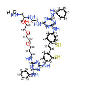 CNCCNCCNc1nc(Nc2ccccc2)nc(Nc2ccc(/C=C/c3ccc(Nc4nc(NCCCOCCOCCO)nc(Nc5ccccc5)n4)cc3S)c(S)c2)n1